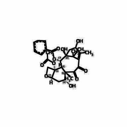 CC(=O)O[C@@]12CO[C@@H]1C[C@@H](O)[C@@]1(C)C(=O)C(=O)C3=C(C)C(O)C[C@@](O)([C@@H](OC(=O)c4ccccc4)[C@H]21)C3(C)C